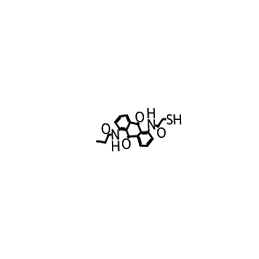 CCC(=O)Nc1cccc2c1C(=O)c1cccc(NC(=O)CS)c1C2=O